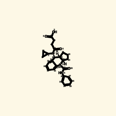 O=C(O)CCC(=O)N(C1CC1)[C@H]1c2ccccc2N(C(=O)Nc2ccccc2)[C@@H]2CCC[C@@H]21